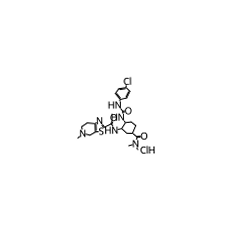 CN1CCc2nc(C(=O)NC3CC(C(=O)N(C)C)CCC3NC(=O)Nc3ccc(Cl)cc3)sc2C1.Cl